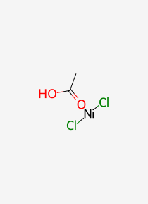 CC(=O)O.[Cl][Ni][Cl]